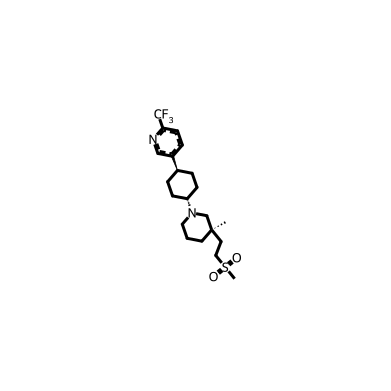 C[C@]1(CCS(C)(=O)=O)CCCN([C@H]2CC[C@H](c3ccc(C(F)(F)F)nc3)CC2)C1